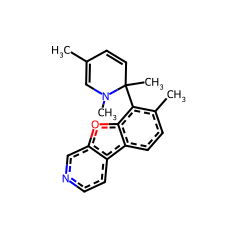 CC1=CN(C)C(C)(c2c(C)ccc3c2oc2cnccc23)C=C1